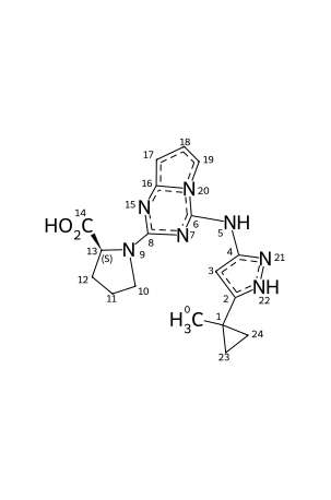 CC1(c2cc(Nc3nc(N4CCC[C@H]4C(=O)O)nc4cccn34)n[nH]2)CC1